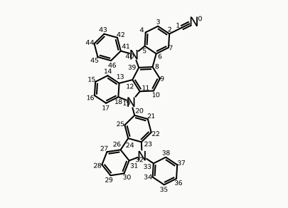 N#Cc1ccc2c(c1)c1ccc3c(c4ccccc4n3-c3ccc4c(c3)c3ccccc3n4-c3ccccc3)c1n2-c1ccccc1